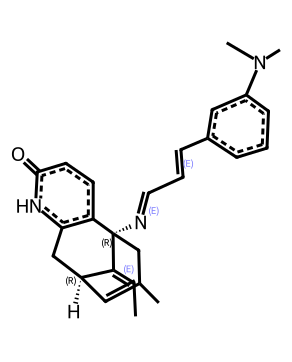 C/C=C1\[C@H]2C=C(C)C[C@]1(/N=C/C=C/c1cccc(N(C)C)c1)c1ccc(=O)[nH]c1C2